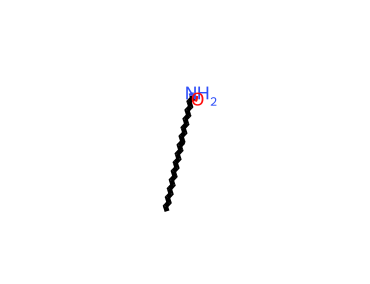 CCCCCCCCCCCCCCCC=CCCCCCCCCCC(N)=O